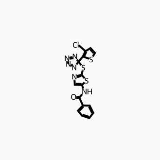 O=C(Nc1cnc(SC2(c3sccc3Cl)N=NN=N2)s1)c1ccccc1